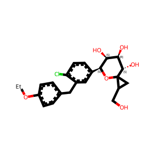 CCOc1ccc(Cc2cc([C@@H]3OC4(CC4CO)[C@@H](O)[C@H](O)[C@@H]3O)ccc2Cl)cc1